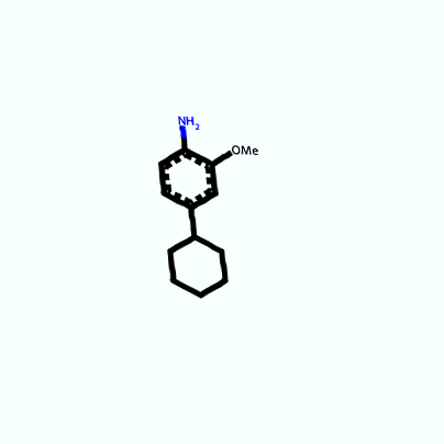 COc1cc(C2CCCCC2)ccc1N